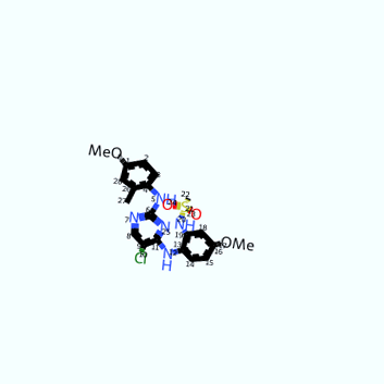 COc1ccc(Nc2ncc(Cl)c(Nc3ccc(OC)cc3NS(C)(=O)=O)n2)c(C)c1